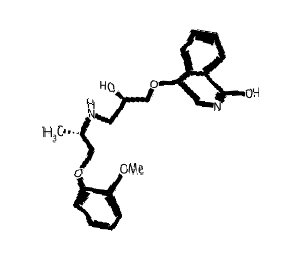 COc1ccccc1OC[C@H](C)NC[C@@H](O)COc1cnc(O)c2ccccc12